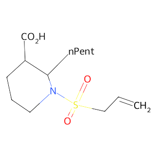 C=CCS(=O)(=O)N1CCCC(C(=O)O)C1CCCCC